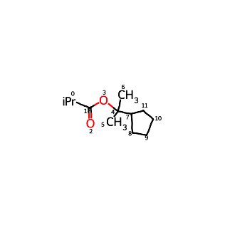 CC(C)C(=O)OC(C)(C)C1CCCC1